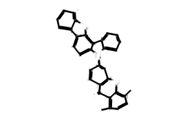 Cc1ccc(C)c2c(=O)c3ccc(-n4c5ccccc5c5c6oc7ccccc7c6ccc54)cc3oc12